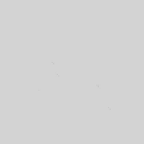 CC(C)(C)c1cc(-c2nc3c(-c4cc(-c5ccccc5)cc(-c5cc(C#N)c(-c6ccccc6)cn5)c4)cccc3n2-c2ccccc2)c(O)c(C(C)(C)C)c1